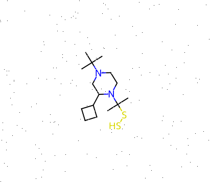 CC(C)(C)N1CCN(C(C)(C)SS)C(C2CCC2)C1